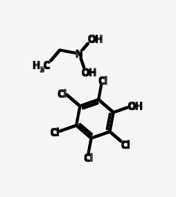 CCN(O)O.Oc1c(Cl)c(Cl)c(Cl)c(Cl)c1Cl